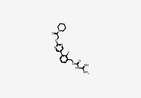 N=C(N)NC(=O)OCc1cccc(-c2cnc(OCC(=O)N3CCCCC3)nc2)c1F